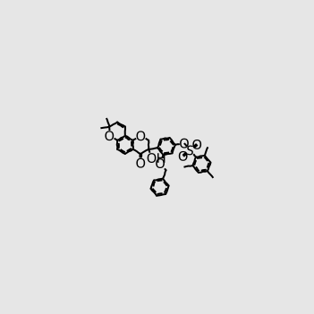 Cc1cc(C)c(S(=O)(=O)Oc2ccc(C3(O)COc4c(ccc5c4C=CC(C)(C)O5)C3=O)c(OCc3ccccc3)c2)c(C)c1